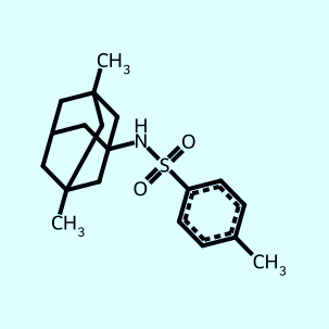 Cc1ccc(S(=O)(=O)NC23CC4CC(C)(CC(C)(C4)C2)C3)cc1